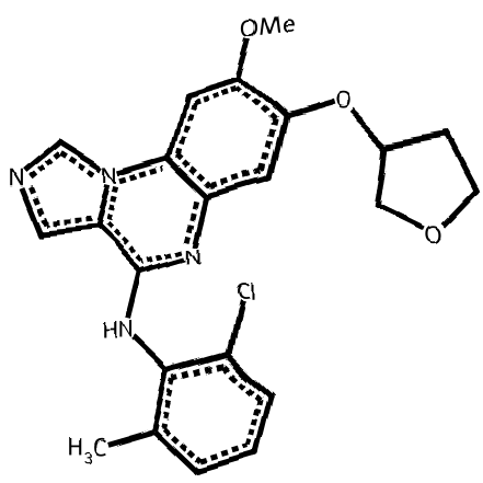 COc1cc2c(cc1OC1CCOC1)nc(Nc1c(C)cccc1Cl)c1cncn12